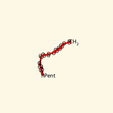 C=CC(=O)OCCCCCCOc1ccc(C(=O)Oc2ccc(OC(=O)c3ccc(OC(=O)c4ccc(OCCCCCCOC(=O)CCCCCOC(=O)CCC(=O)OCCCCCCCCOc5ccc(C(=O)Oc6ccc(OC(=O)C7CCC(C8CCC(CCCCC)CC8)CC7)cc6)cc5)cc4)cc3)cc2)cc1